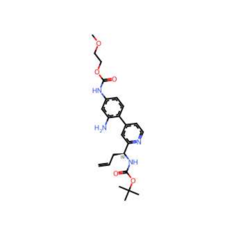 C=CC[C@H](NC(=O)OC(C)(C)C)c1cc(-c2ccc(NC(=O)OCCOC)cc2N)ccn1